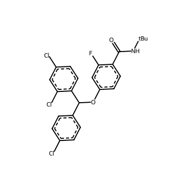 CC(C)(C)NC(=O)c1ccc(OC(c2ccc(Cl)cc2)c2ccc(Cl)cc2Cl)cc1F